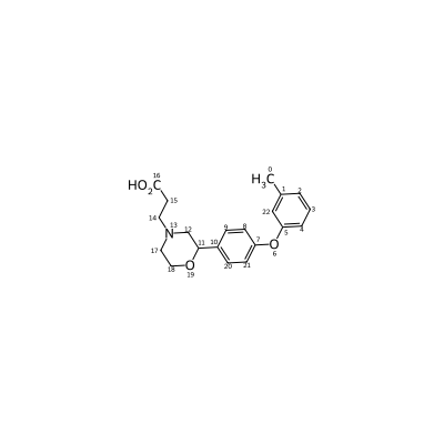 Cc1cccc(Oc2ccc(C3CN(CCC(=O)O)CCO3)cc2)c1